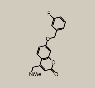 CNCc1cc(=O)oc2cc(OCc3cccc(F)c3)ccc12